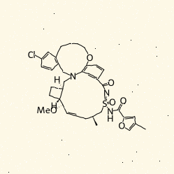 CO[C@H]1/C=C/C[C@H](C)CS(=O)(NC(=O)c2cc(C)co2)=NC(=O)c2ccc3c(c2)N(Cc2ccc(Cl)cc2CCCCO3)C[C@@H]2CC[C@H]21